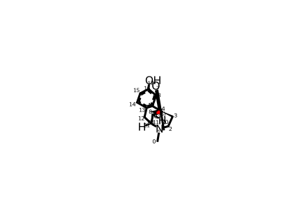 CN1CC[C@]23CC(=O)CC[C@H]2[C@H]1Cc1ccc(O)cc13